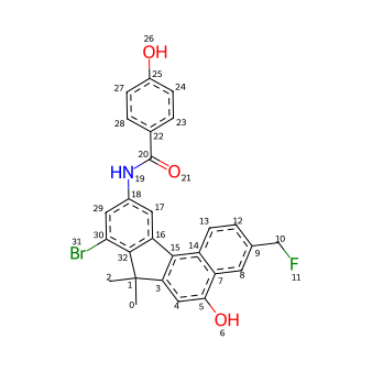 CC1(C)c2cc(O)c3cc(CF)ccc3c2-c2cc(NC(=O)c3ccc(O)cc3)cc(Br)c21